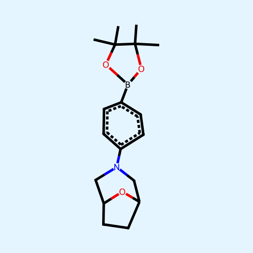 CC1(C)OB(c2ccc(N3CC4CCC(C3)O4)cc2)OC1(C)C